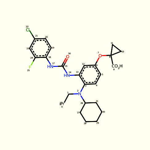 CC(C)CN(c1ccc(OC2(C(=O)O)CC2)cc1NC(=O)Nc1ccc(Cl)cc1F)C1CCCCC1